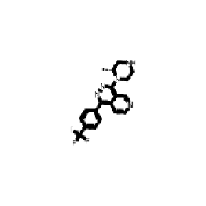 C[C@@H]1CNCCN1c1nnc(-c2ccc(C(F)(F)F)cc2)c2ccncc12